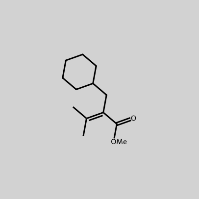 COC(=O)C(CC1CCCCC1)=C(C)C